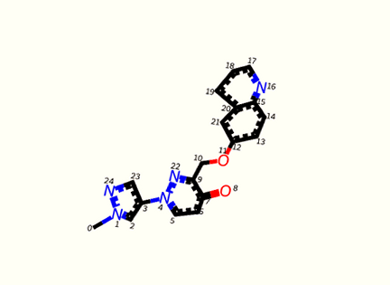 Cn1cc(-n2ccc(=O)c(COc3ccc4nc[c]cc4c3)n2)cn1